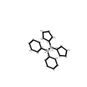 C1CCC([N+](C2CCCCC2)N(C2CCCC2)C2CCCC2)CC1